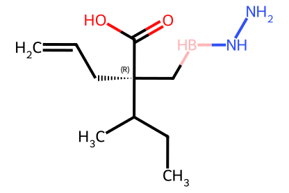 C=CC[C@@](CBNN)(C(=O)O)C(C)CC